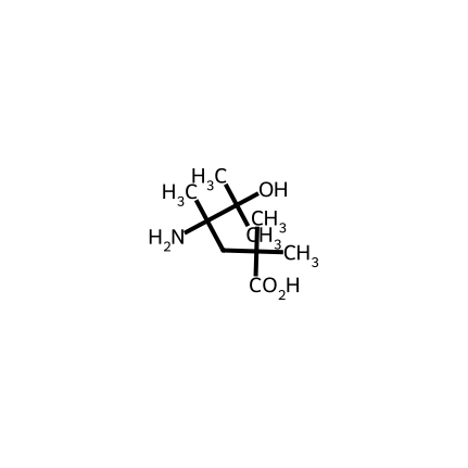 CC(C)(CC(C)(N)C(C)(C)O)C(=O)O